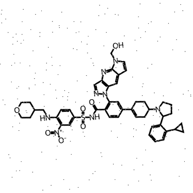 O=C(NS(=O)(=O)c1ccc(NCC2CCOCC2)c([N+](=O)[O-])c1)c1ccc(C2=CCC(N3CCCC3c3ccccc3C3CC3)CC2)cc1-n1ncc2nc3c(ccn3CO)cc21